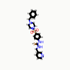 O=S(=O)(c1ccc(NC(=S)NCc2cccnc2)cc1)N1CCN(Cc2ccccc2)CC1